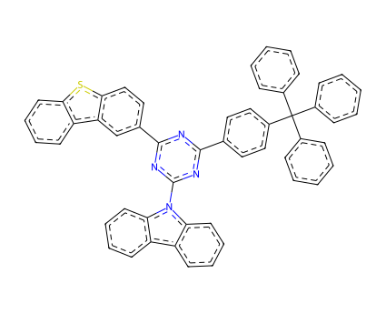 c1ccc(C(c2ccccc2)(c2ccccc2)c2ccc(-c3nc(-c4ccc5sc6ccccc6c5c4)nc(-n4c5ccccc5c5ccccc54)n3)cc2)cc1